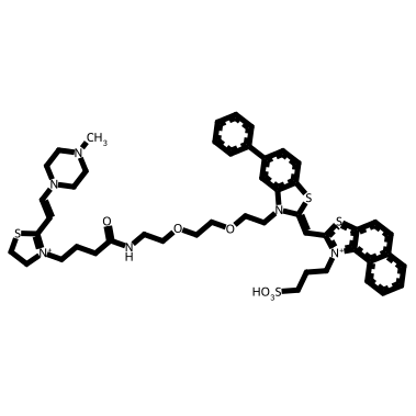 CN1CCN(C=CC2=[N+](CCCC(=O)NCCOCCOCCN3C(=Cc4sc5ccc6ccccc6c5[n+]4CCCS(=O)(=O)O)Sc4ccc(-c5ccccc5)cc43)CCS2)CC1